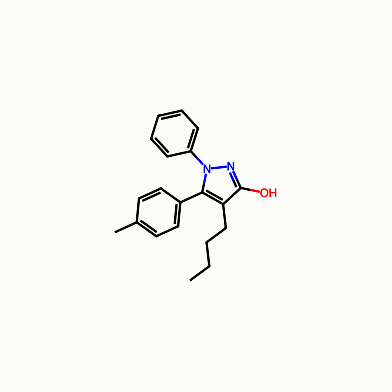 CCCCc1c(O)nn(-c2ccccc2)c1-c1ccc(C)cc1